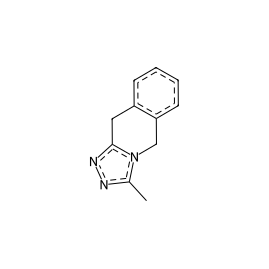 Cc1nnc2n1Cc1ccccc1C2